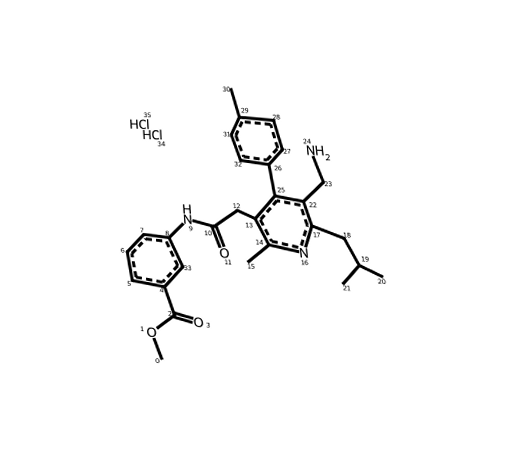 COC(=O)c1cccc(NC(=O)Cc2c(C)nc(CC(C)C)c(CN)c2-c2ccc(C)cc2)c1.Cl.Cl